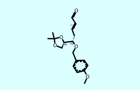 COc1ccc(CO[C@@H](C/C=C/C=O)[C@H]2COC(C)(C)O2)cc1